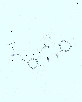 CC(C)(C)OC(=O)NN(C(=O)NC(=O)c1ccc(I)cc1F)c1cc(CNC(=O)C2CC2)ccc1Cl